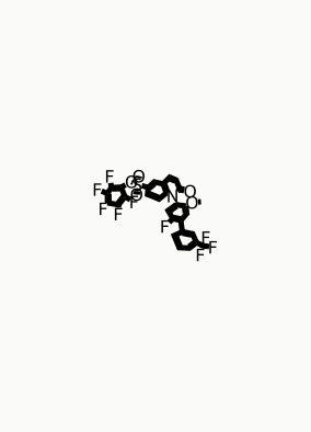 COc1cc(-c2cccc(C(F)(F)F)c2)c(F)cc1-n1c(=O)ccc2cc(S(=O)(=O)Oc3c(F)c(F)c(F)c(F)c3F)ccc21